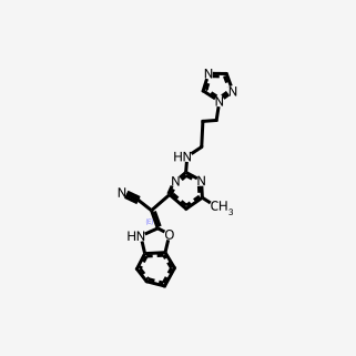 Cc1cc(/C(C#N)=C2/Nc3ccccc3O2)nc(NCCCn2cncn2)n1